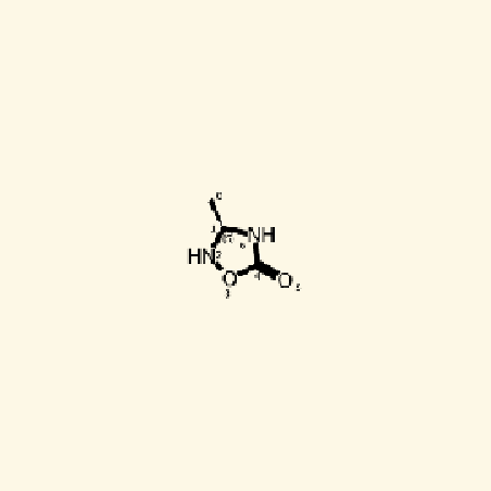 C[C@@H]1NOC(=O)N1